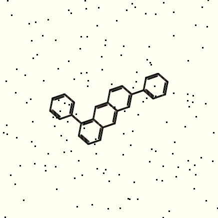 c1ccc(-c2ccc3cc4c(-c5ccccc5)cccc4cc3c2)cc1